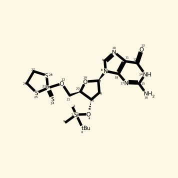 CC(C)(C)[Si](C)(C)O[C@H]1C[C@H](n2cnc3c(=O)[nH]c(N)nc32)O[C@@H]1COP1(=S)SCCS1